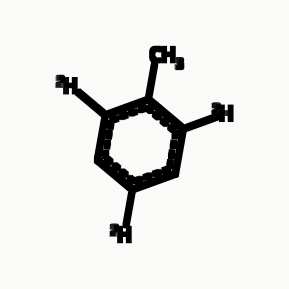 [2H]c1cc([2H])c(C)c([2H])c1